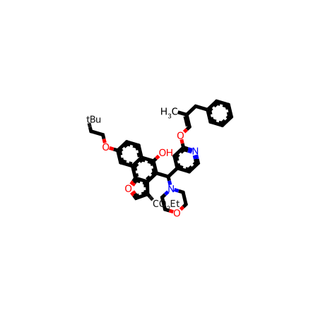 CCOC(=O)c1coc2c1c(C(c1ccnc(O/C=C(\C)Cc3ccccc3)c1)N1CCOCC1)c(O)c1ccc(OCCC(C)(C)C)cc12